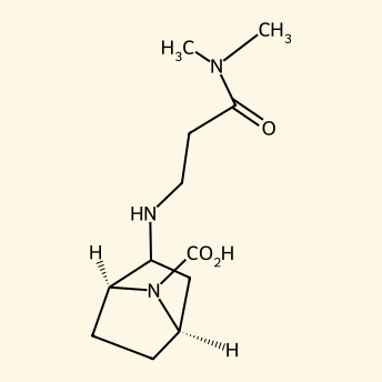 CN(C)C(=O)CCNC1C[C@H]2CC[C@@H]1N2C(=O)O